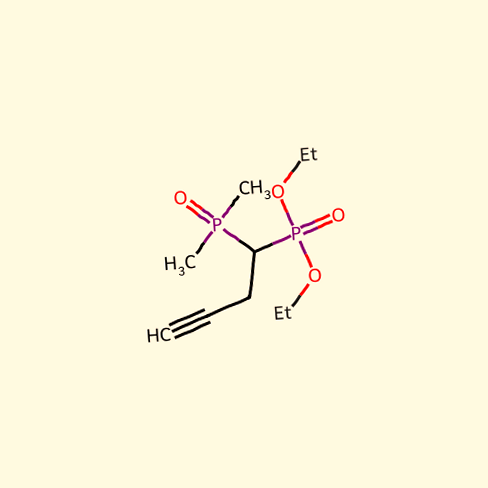 C#CCC(P(C)(C)=O)P(=O)(OCC)OCC